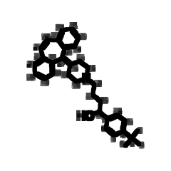 CC(C)(C)c1ccc(C(O)CCCN2CCC(=C3c4ccccc4C=Cc4ccccc43)CC2)cc1